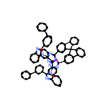 c1ccc(-c2cccc(-c3nc4ccccc4n3-c3nc(-c4ccccc4)nc(-c4ccc5c(c4)C4(c6ccccc6-5)c5ccccc5-c5ccc(-c6nc(-c7ccccc7)nc(-n7c(-c8cccc(-c9ccccc9)c8)nc8ccccc87)n6)cc54)n3)c2)cc1